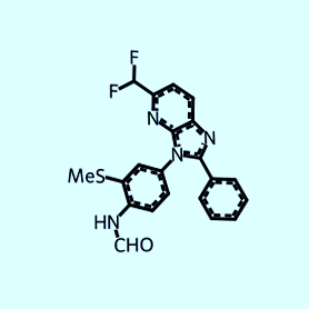 CSc1cc(-n2c(-c3ccccc3)nc3ccc(C(F)F)nc32)ccc1NC=O